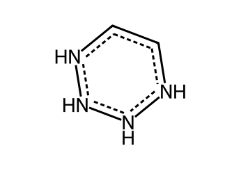 c1c[nH][nH][nH][nH]1